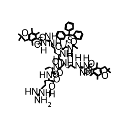 CC[C@@H](NC(=O)[C@@H](CCCNC(=N)NS(=O)(=O)c1c(C)c(C)c2c(c1C)CC(C)(C)O2)NC(=O)[C@@H](CCCNC(=N)NS(=O)(=O)c1c(C)c(C)c2c(c1C)CC(C)(C)O2)NC(=O)[C@@H](CSC(c1ccccc1)(c1ccccc1)c1ccccc1)NC(C)=O)C(=O)N[C@H](CCCNC(=N)N)C(=O)O